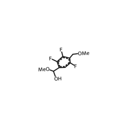 COCc1c(F)cc(C(O)OC)c(F)c1F